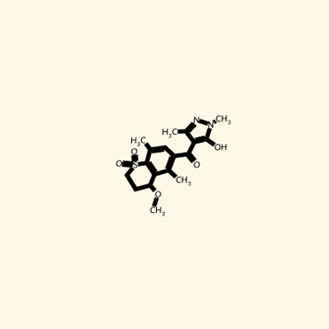 COC1CCS(=O)(=O)c2c(C)cc(C(=O)c3c(C)nn(C)c3O)c(C)c21